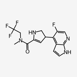 CN(CC(F)(F)F)C(=O)C1=CC(c2c(F)cnc3[nH]ccc23)CN1